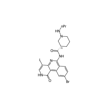 CCCNN1CCC[C@H](C(=O)Nc2nc3c(I)c[nH]c(=O)c3c3cc(Br)ccc23)C1